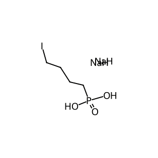 O=P(O)(O)CCCCI.[NaH].[NaH]